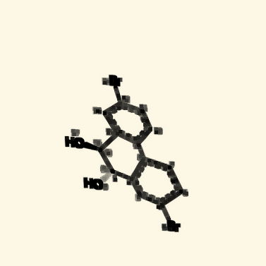 O[C@H]1c2cc(Br)ccc2-c2ccc(Br)cc2[C@@H]1O